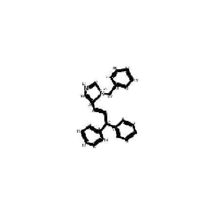 C(=C\C(c1ccccc1)c1ccccc1)/c1cncn1Cc1ccccc1